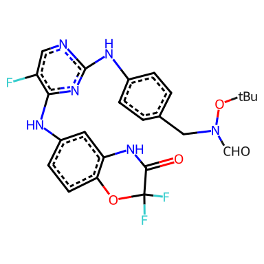 CC(C)(C)ON(C=O)Cc1ccc(Nc2ncc(F)c(Nc3ccc4c(c3)NC(=O)C(F)(F)O4)n2)cc1